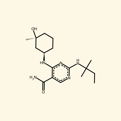 CCC(C)(C)Nc1ncc(C(N)=O)c(N[C@@H]2CCC[C@](C)(O)C2)n1